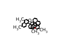 Cc1ccc2c(C3(C(=O)C4(c5ccc(C)c6cc(C)ccc56)CC=Cc5ccccc54)CC=Cc4ccccc43)ccc(C)c2c1